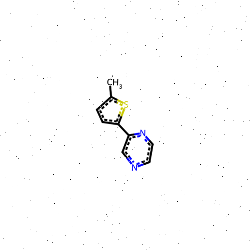 Cc1ccc(-c2cnccn2)s1